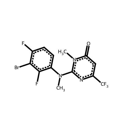 CN(c1ccc(F)c(Br)c1F)c1nc(C(F)(F)F)cc(=O)n1C